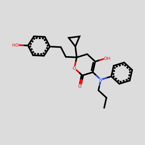 CCCN(C1=C(O)CC(CCc2ccc(O)cc2)(C2CC2)OC1=O)c1ccccc1